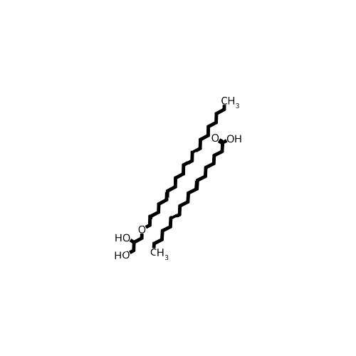 CCCCCCCCCCCCCCCCCC(=O)O.CCCCCCCCCCCCCCCCCCCCOCC(O)CO